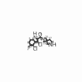 O=C(c1[nH]c2ccc(F)c(Cl)c2c1Cl)N1CC2(CCNC2)C1